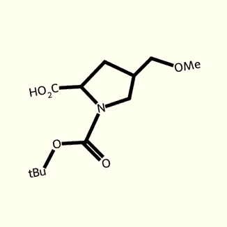 COCC1CC(C(=O)O)N(C(=O)OC(C)(C)C)C1